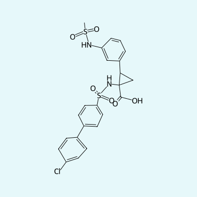 CS(=O)(=O)Nc1cccc(C2CC2(NS(=O)(=O)c2ccc(-c3ccc(Cl)cc3)cc2)C(=O)O)c1